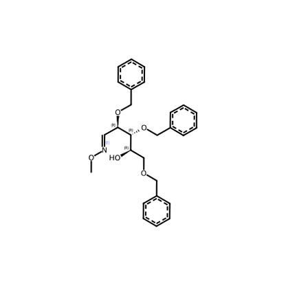 CO/N=C/[C@@H](OCc1ccccc1)[C@H](OCc1ccccc1)[C@H](O)COCc1ccccc1